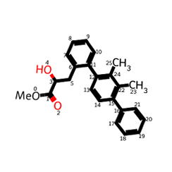 COC(=O)C(O)Cc1ccccc1-c1ccc(-c2ccccc2)c(C)c1C